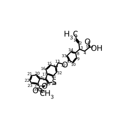 CC#CC(CC(=O)O)c1ccc(OCc2ccc3c(-c4ccccc4S(C)(=O)=O)csc3c2)cc1